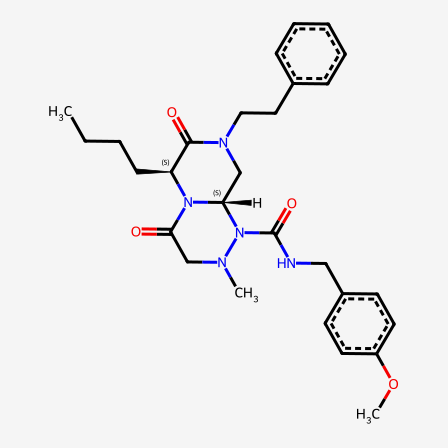 CCCC[C@H]1C(=O)N(CCc2ccccc2)C[C@H]2N1C(=O)CN(C)N2C(=O)NCc1ccc(OC)cc1